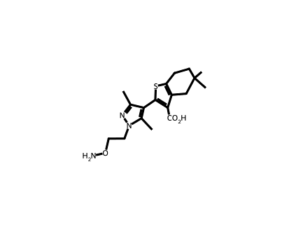 Cc1nn(CCON)c(C)c1-c1sc2c(c1C(=O)O)CC(C)(C)CC2